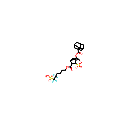 O=C(OCCCCC(F)(F)C(F)(F)S(=O)(=O)O)C1C2CC3C(OS(=O)(=O)C31)C2OC(=O)C12CC3CC(CC(C3)C1)C2